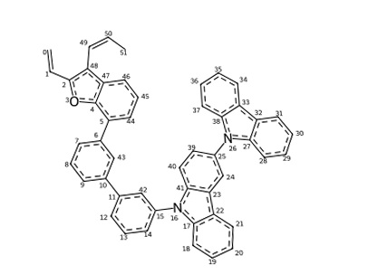 C=Cc1oc2c(-c3cccc(-c4cccc(-n5c6ccccc6c6cc(-n7c8ccccc8c8ccccc87)ccc65)c4)c3)cccc2c1/C=C\C